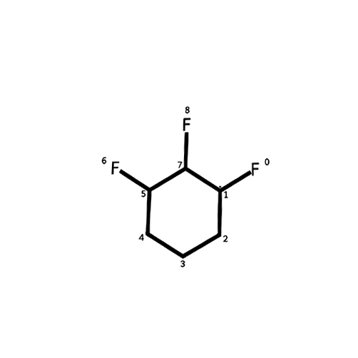 F[C]1CCCC(F)C1F